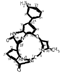 C[C@@H]1CC2CN1CCn1[nH]c3c(cccc3c1=O)-c1nc3c(cc(-c4cccc(N)c4)cc3[nH]c1=O)O2